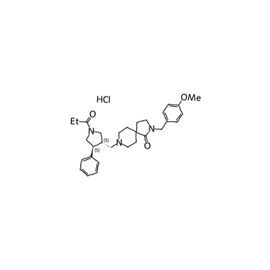 CCC(=O)N1C[C@H](CN2CCC3(CC2)CCN(Cc2ccc(OC)cc2)C3=O)[C@@H](c2ccccc2)C1.Cl